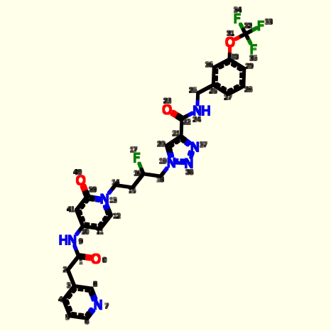 O=C(Cc1cccnc1)Nc1ccn(CCC(F)Cn2cc(C(=O)NCc3cccc(OC(F)(F)F)c3)nn2)c(=O)c1